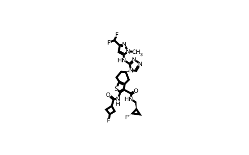 Cn1nc(C(F)F)cc1Nc1nncn1[C@H]1CCc2sc(NC(=O)C3CC(F)C3)c(C(=O)NC[C@H]3C[C@@H]3F)c2C1